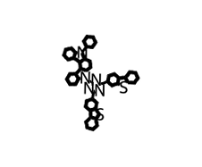 c1ccc(-n2c3ccccc3c3c4c5ccccc5n(-c5nc(-c6ccc7c(c6)sc6ccccc67)nc(-c6ccc7c(c6)sc6ccccc67)n5)c4ccc32)cc1